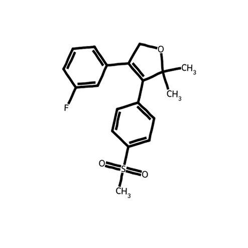 CC1(C)OCC(c2cccc(F)c2)=C1c1ccc(S(C)(=O)=O)cc1